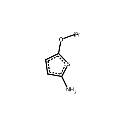 CC(C)Oc1ccc(N)s1